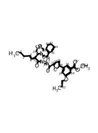 CCCCCC(C(=O)NCNC(=O)c1ccc(-c2cc(OCCC)cc(C(=O)OC)c2)o1)[C@@H](CC)N(C=O)OCc1ccccc1